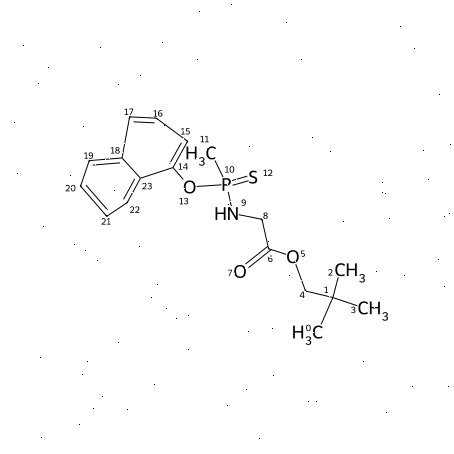 CC(C)(C)COC(=O)CNP(C)(=S)Oc1cccc2ccccc12